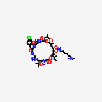 C/C=C(\C)[C@H]1OC(=O)[C@@H](C)NC(=O)[C@H](C(C)CC)NC(=O)CN(C)C(=O)[C@@H](Cc2ccc(Cl)cc2)N(C)C(=O)[C@H](C)NC(=O)[C@@H](CC(C)C)OC(=O)/C(C)=C/C[C@H](OC(=O)N(C)CCCCCCNC)[C@@H]1C